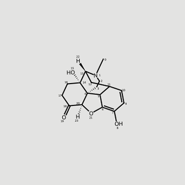 CN1CC[C@@]23C4C5=C(O)C=CC4C[C@@H]1[C@]2(O)CCC(=O)[C@@H]3O5